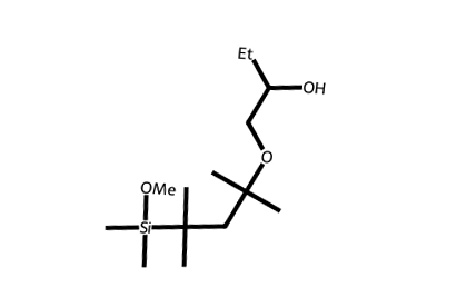 CCC(O)COC(C)(C)CC(C)(C)[Si](C)(C)OC